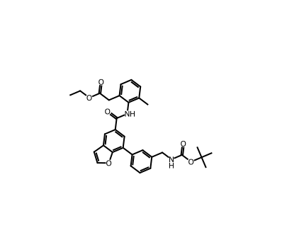 CCOC(=O)Cc1cccc(C)c1NC(=O)c1cc(-c2cccc(CNC(=O)OC(C)(C)C)c2)c2occc2c1